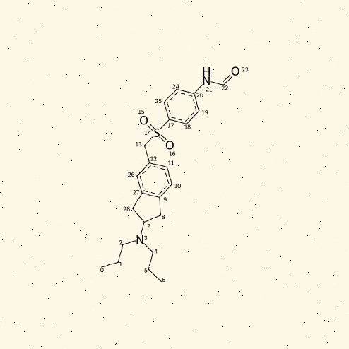 CCCN(CCC)C1Cc2ccc(CS(=O)(=O)c3ccc(NC=O)cc3)cc2C1